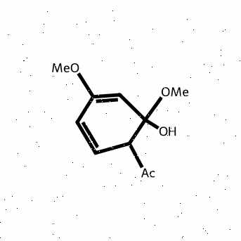 COC1=CC(O)(OC)C(C(C)=O)C=C1